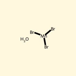 O.[Br][Mn]([Br])[Br]